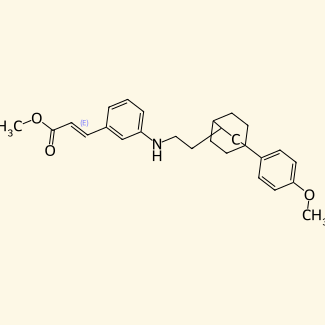 COC(=O)/C=C/c1cccc(NCCC2CC3(c4ccc(OC)cc4)CCC2CC3)c1